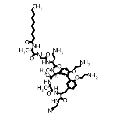 CCCCCCCCCC(=O)N[C@@H](C)C(=O)NCC(=O)N[C@@H](CCN)C(=O)N(C)[C@@H]1C(=O)N[C@@H](C)C(=O)N[C@H](C(=O)NCC#N)Cc2ccc(OCCN)c(c2)-c2cc1ccc2OCCN